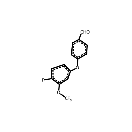 O=Cc1ccc(Oc2ccc(F)c(OC(F)(F)F)c2)cc1